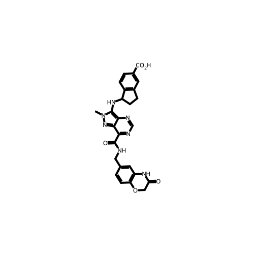 Cn1nc2c(C(=O)NCc3ccc4c(c3)NC(=O)CO4)ncnc2c1NC1CCc2cc(C(=O)O)ccc21